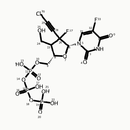 O=c1[nH]c(=O)n([C@@H]2O[C@H](COP(=O)(O)OP(=O)(O)OP(=O)(O)O)C(CO)C2(F)C#CCl)cc1F